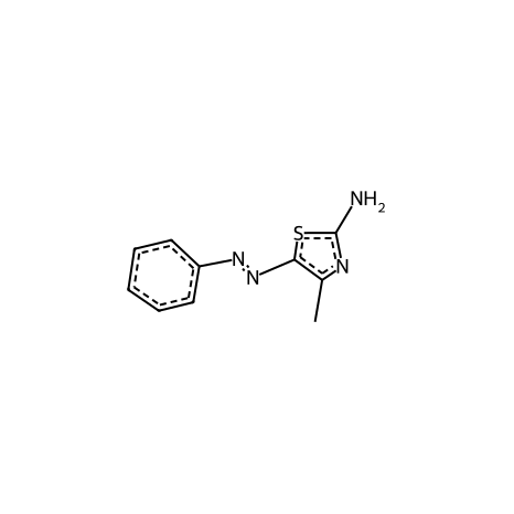 Cc1nc(N)sc1N=Nc1ccccc1